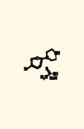 Brc1ccc(N2CCNCC2)cc1.NC(=S)S.[NaH]